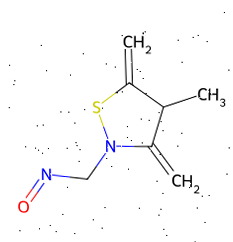 C=C1SN(CN=O)C(=C)C1C